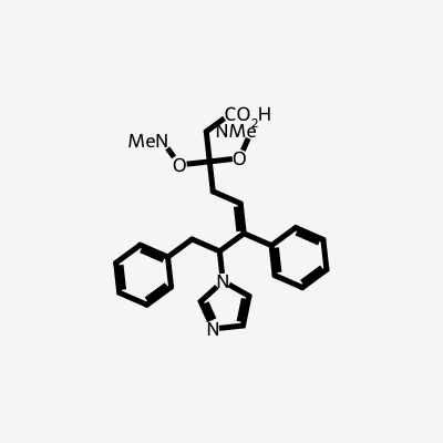 CNOC(CC=C(c1ccccc1)C(Cc1ccccc1)n1ccnc1)(CC(=O)O)ONC